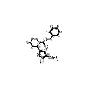 CC1CCN(C(=O)OCc2ccccc2)C(c2cc(N)[nH]n2)C1